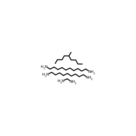 CCCCC(C)CCCC.NCCCCCCCCCCN.NCCCCCCCCCN.NCN